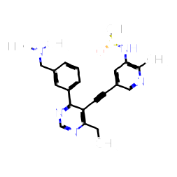 CCc1ncnc(-c2cccc(CN(C)C)c2)c1C#Cc1cnc(C)c(N[S+](C)[O-])c1